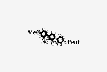 CCCCC[C@H]1CC[C@H](c2ccc(-c3ccc(OC)cc3)c(C#N)c2C#N)CC1